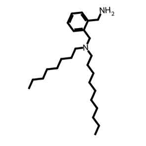 CCCCCCCCCCN(CCCCCCCC)Cc1ccccc1CN